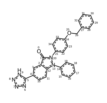 O=c1c2cc(-c3nnn[nH]3)ccc2n(-c2ccccc2)n1-c1ccc(OCc2ccccc2)cc1